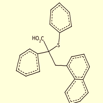 O=C(O)C(Cc1cccc2ccccc12)(Sc1ccccc1)c1ccccc1